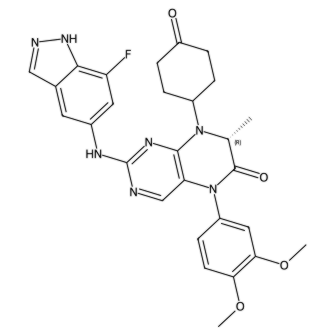 COc1ccc(N2C(=O)[C@@H](C)N(C3CCC(=O)CC3)c3nc(Nc4cc(F)c5[nH]ncc5c4)ncc32)cc1OC